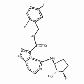 O=C(NCc1cc(F)ccc1F)c1n[nH]c2ncnc(N[C@H]3CC[C@@H](F)[C@@H]3O)c12